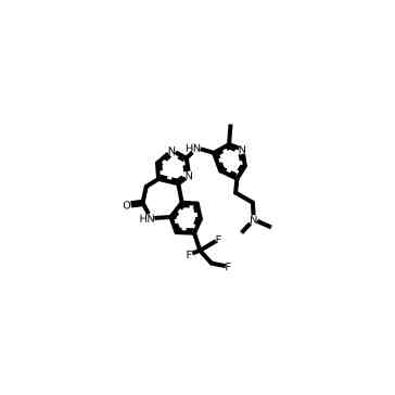 Cc1ncc(CCN(C)C)cc1Nc1ncc2c(n1)-c1ccc(C(F)(F)CF)cc1NC(=O)C2